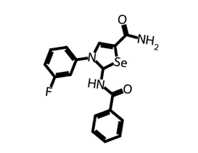 NC(=O)C1=CN(c2cccc(F)c2)C(NC(=O)c2ccccc2)[Se]1